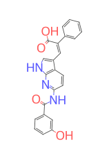 O=C(O)C(=Cc1c[nH]c2nc(NC(=O)c3cccc(O)c3)ccc12)c1ccccc1